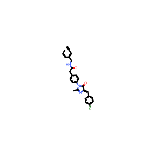 C#C/C=C(\C=C/C)CNC(=O)Cc1ccc(N2C(=O)/C(=C/c3ccc(Cl)cc3)N=C2C)cc1